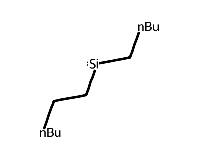 CCCCCC[Si]CCCCC